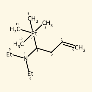 C=CC[CH](N(CC)CC)[Pt]([CH3])([CH3])([CH3])[CH3]